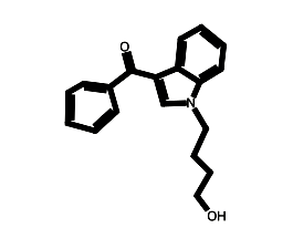 O=C(c1ccccc1)c1cn(CCCCO)c2ccccc12